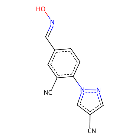 N#Cc1cnn(-c2ccc(C=NO)cc2C#N)c1